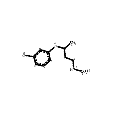 CC(CCNC(=O)O)Oc1cccc(Cl)c1